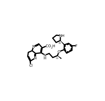 C[C@@H](CCNC1=C(C(=O)O)C=NC2CC=C(Cl)N=C12)Oc1ccc(F)cc1[C@H]1CCCN1